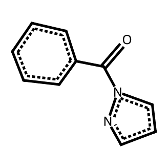 O=C(c1ccccc1)n1cccn1